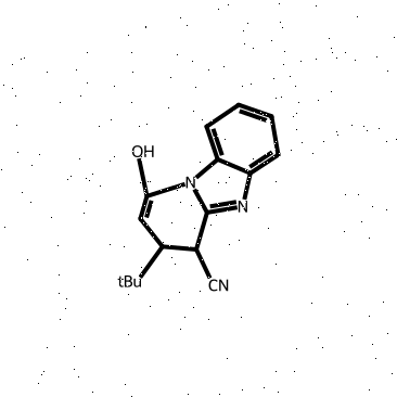 CC(C)(C)C1C=C(O)n2c(nc3ccccc32)C1C#N